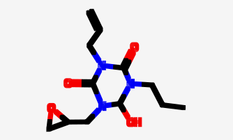 C=CCN1C(=O)N(CCC)C(O)N(CC2CO2)C1=O